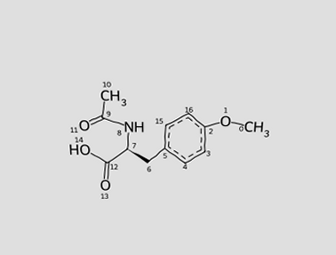 COc1ccc(C[C@H](NC(C)=O)C(=O)O)cc1